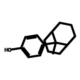 CC1(c2ccc(O)cc2)C2CCCC1CCC2